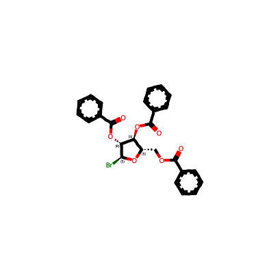 O=C(OC[C@@H]1O[C@@H](Br)[C@H](OC(=O)c2ccccc2)[C@H]1OC(=O)c1ccccc1)c1ccccc1